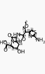 CON=C(C(=O)N[C@@H]1C(=O)N2C(C(=O)O)=C[C@@H](O)C[C@H]12)c1csc(N)n1